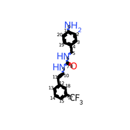 Nc1ccc(CNC(=O)N/C=C/c2cccc(C(F)(F)F)c2)cc1